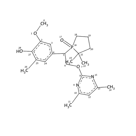 COc1cc(C(COc2nc(C)cc(C)n2)P2(=O)CCCC2(C)C)cc(C)c1O